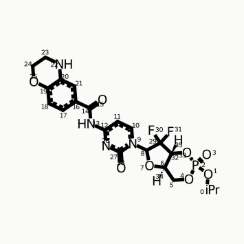 CC(C)OP1(=O)OC[C@H]2OC(n3ccc(NC(=O)c4ccc5c(c4)NCCO5)nc3=O)C(F)(F)[C@@H]2O1